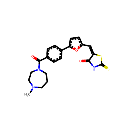 CN1CCCN(C(=O)c2ccc(-c3ccc(C=C4SC(=S)NC4=O)o3)cc2)CC1